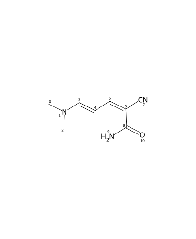 CN(C)C=CC=C(C#N)C(N)=O